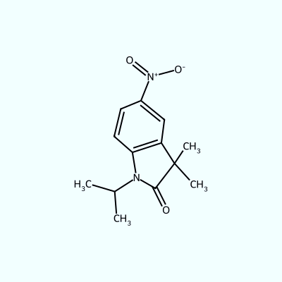 CC(C)N1C(=O)C(C)(C)c2cc([N+](=O)[O-])ccc21